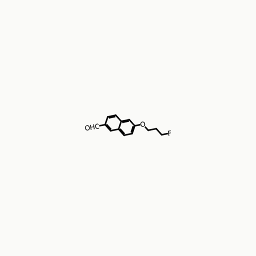 O=Cc1ccc2cc(OCCCF)ccc2c1